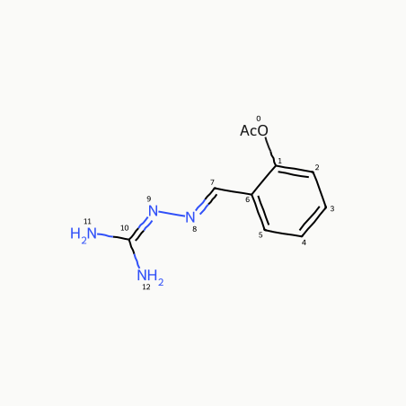 CC(=O)Oc1ccccc1C=NN=C(N)N